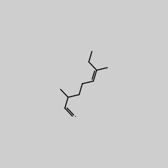 [CH]=CC(C)CCC=C(C)CC